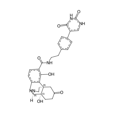 O=C1CC[C@@]2(O)[C@H]3Cc4ccc(C(=O)NCCc5ccc(-c6c[nH]c(=O)[nH]c6=O)cc5)c(O)c4[C@@]2(CCN3)C1